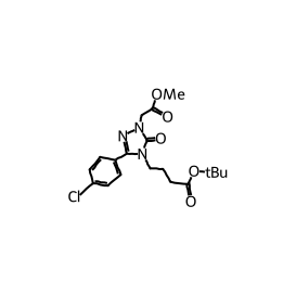 COC(=O)Cn1nc(-c2ccc(Cl)cc2)n(CCCC(=O)OC(C)(C)C)c1=O